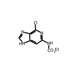 CCOC(=O)Nc1cc2[nH]cnc2c(Cl)n1